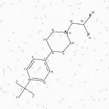 CC(C)(C)c1ccc(C2CCN(CC(F)F)CC2)cc1